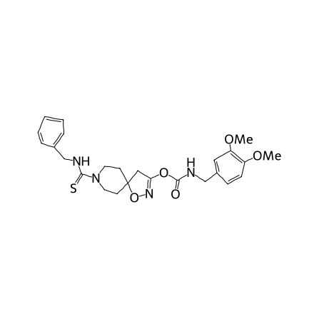 COc1ccc(CNC(=O)OC2=NOC3(CCN(C(=S)NCc4ccccc4)CC3)C2)cc1OC